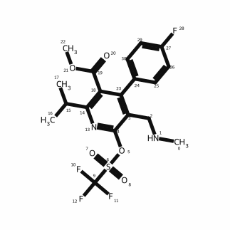 CNCc1c(OS(=O)(=O)C(F)(F)F)nc(C(C)C)c(C(=O)OC)c1-c1ccc(F)cc1